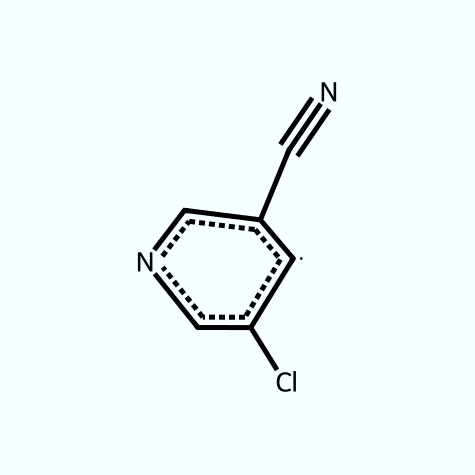 N#Cc1[c]c(Cl)cnc1